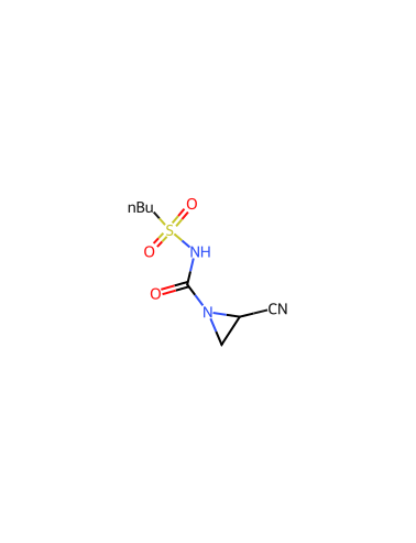 CCCCS(=O)(=O)NC(=O)N1CC1C#N